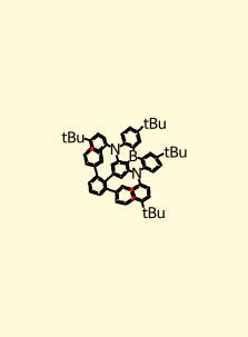 CC(C)(C)c1ccc(N2c3ccc(C(C)(C)C)cc3B3c4cc(C(C)(C)C)ccc4N(c4ccc(C(C)(C)C)cc4)c4cc(-c5c(-c6ccccc6)cccc5-c5ccccc5)cc2c43)cc1